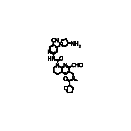 CN(Cc1cc2c(nc1C=O)N(C(=O)Nc1cc(N3CCC(N)C3)c(C#N)cn1)CCC2)C(=O)C1CCCO1